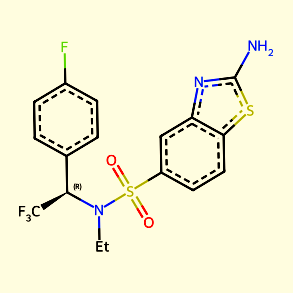 CCN([C@H](c1ccc(F)cc1)C(F)(F)F)S(=O)(=O)c1ccc2sc(N)nc2c1